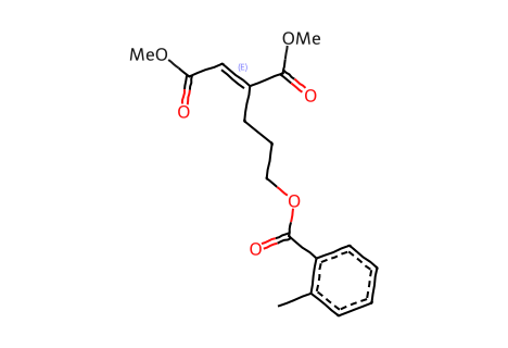 COC(=O)/C=C(\CCCOC(=O)c1ccccc1C)C(=O)OC